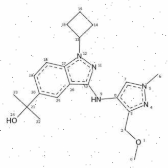 COCc1nn(C)cc1Nc1nn(C2CCC2)c2ccc(C(C)(C)O)cc12